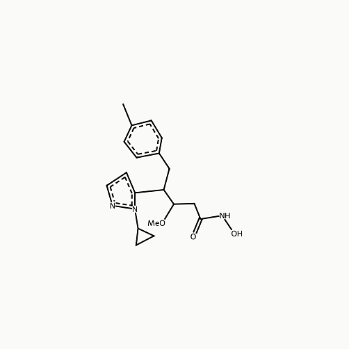 COC(CC(=O)NO)C(Cc1ccc(C)cc1)c1ccnn1C1CC1